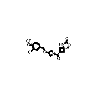 O=C1N[C@]2(CO1)C[C@H](C(=O)N1CC(OCc3ccc(OC(F)(F)F)c(Cl)c3)C1)C2